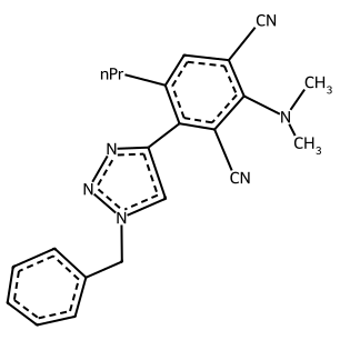 CCCc1cc(C#N)c(N(C)C)c(C#N)c1-c1cn(Cc2ccccc2)nn1